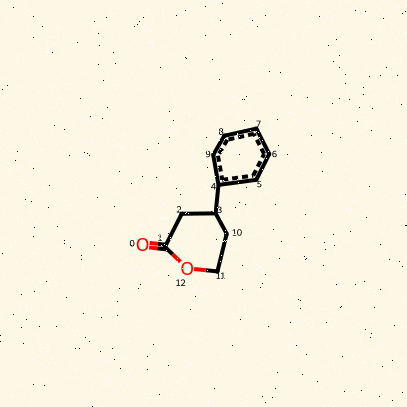 O=C1CC(c2ccccc2)CCO1